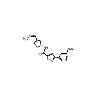 C/N=C\N1CC[C@@H](NC(=O)c2cc(-c3cccc(OC)c3)no2)C1